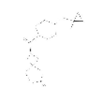 O=C1NC2(CO1)CN(C(=O)N1CCC(NC3(C(F)(F)F)CC3)CC1)C2